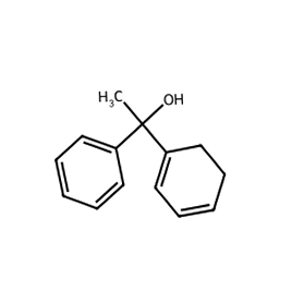 CC(O)(C1=CC=CCC1)c1ccccc1